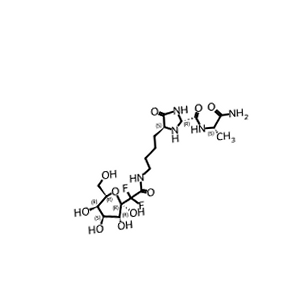 C[C@H](NC(=O)[C@H]1NC(=O)[C@H](CCCCNC(=O)C(F)(F)[C@]2(O)O[C@H](CO)[C@H](O)[C@H](O)[C@H]2O)N1)C(N)=O